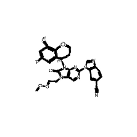 COOCCn1c(=O)n([C@@H]2CCOc3c(F)cc(F)cc32)c2nc(-n3cnc4ccc(C#N)cc43)ncc21